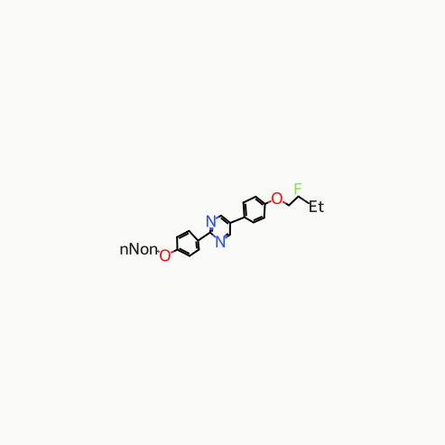 CCCCCCCCCOc1ccc(-c2ncc(-c3ccc(OCC(F)CC)cc3)cn2)cc1